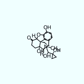 C[N@+]1(C(O)C2(O)CC2)CC[C@]23c4c5ccc(O)c4O[C@H]2C(=O)CC[C@@]3(O)[C@H]1C5